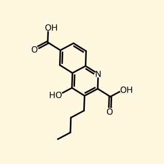 CCCCc1c(C(=O)O)nc2ccc(C(=O)O)cc2c1O